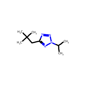 CC(C)n1nnc(CC(C)(C)C)n1